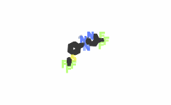 Cn1c(-c2cccc(SCC(F)(F)F)c2)nc2cc(C(F)(F)F)cnc21